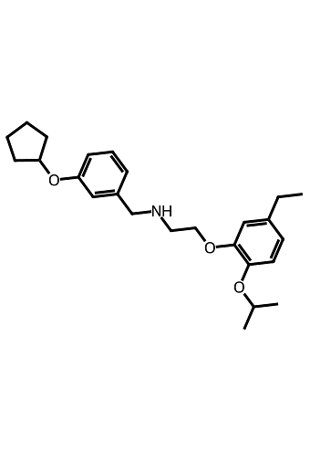 CCc1ccc(OC(C)C)c(OCCNCc2cccc(OC3CCCC3)c2)c1